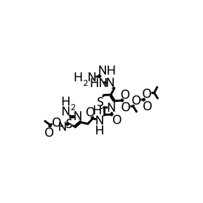 CC(=O)ON=S1C=C(CC(=O)N[C@@H]2C(=O)N3C(C(=O)OC(C)OC(=O)OC(C)C)=C(/C=N\NC(=N)N)CS[C@H]23)N=C1N